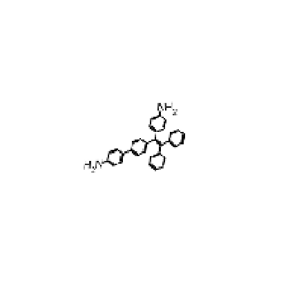 Nc1ccc(C(=C(c2ccccc2)c2ccccc2)c2ccc(-c3ccc(N)cc3)cc2)cc1